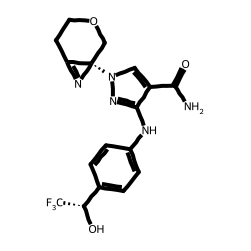 NC(=O)c1cn([C@@]23COCCC2=N3)nc1Nc1ccc([C@H](O)C(F)(F)F)cc1